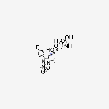 CC(C)c1nc(N(C)S(C)(=O)=O)nc(-c2ccc(F)cc2)c1/C=C/[C@H](O)C[C@@H](O)CC(=O)N[C@@H](C)C(=O)O